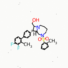 Cc1ccccc1S(=O)(=O)N1CCCCN2C(CO)[C@@H](c3ccc(-c4ccc(F)c(F)c4C)cc3)[C@@H]2C1